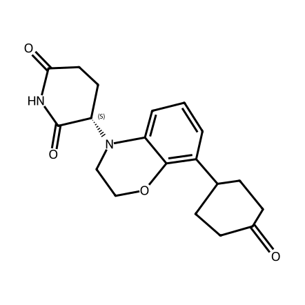 O=C1CCC(c2cccc3c2OCCN3[C@H]2CCC(=O)NC2=O)CC1